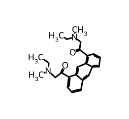 CCN(C)CC(=O)c1cccc2cc3cccc(C(=O)CN(C)CC)c3cc12